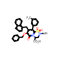 CCCN1CC(C(=O)O)n2c(c(-c3cccc(C(F)(F)F)c3)c(Cc3cccc4ccccc34)c(OCc3ccccc3)c2=O)S1(=O)=O